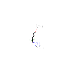 CC(C)(C)CNC(=O)C(F)(F)CCCCOCC(C)(C)C